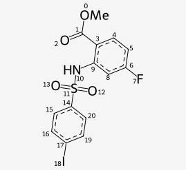 COC(=O)c1ccc(F)cc1NS(=O)(=O)c1ccc(I)cc1